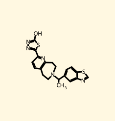 CC(c1ccc2scnc2c1)N1CCc2ccc(-c3nnc(O)s3)nc2CC1